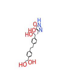 O=c1[nH]cnc(C[C@@H](CO)c2ccc(CCc3ccc(C(O)CO)cc3)cc2)c1O